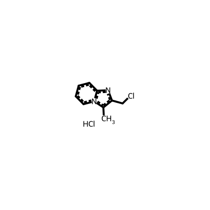 Cc1c(CCl)nc2ccccn12.Cl